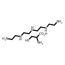 NC(CS)C(=O)O.NCCNCCNCCNCCN